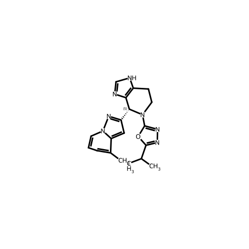 Cc1cccn2nc([C@@H]3c4nc[nH]c4CCN3c3nnc(C(C)C)o3)cc12